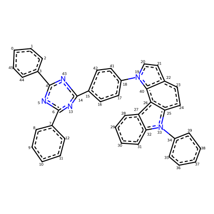 c1ccc(-c2nc(-c3ccccc3)nc(-c3ccc(-n4ccc5ccc6c(c7ccccc7n6-c6ccccc6)c54)cc3)n2)cc1